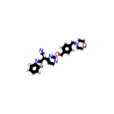 N#C[C@@H](c1ccnc(OCc2ccc(CN3CCOCC3)cc2)n1)c1nc2ccccc2s1